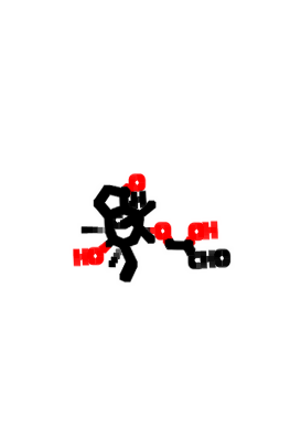 C=C[C@]1(C)C[C@@H](OCC(O)C=O)[C@]2(C)[C@H](C)CC[C@]3(CCC(=O)[C@H]32)[C@@H](C)[C@@H]1O